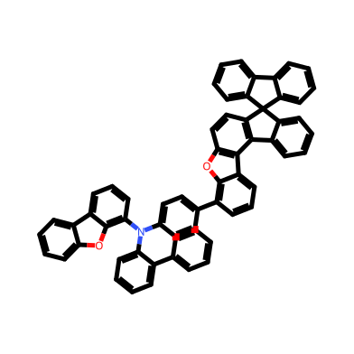 c1ccc(-c2ccccc2N(c2ccc(-c3cccc4c3oc3ccc5c(c34)-c3ccccc3C53c4ccccc4-c4ccccc43)cc2)c2cccc3c2oc2ccccc23)cc1